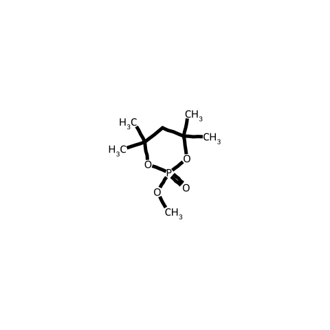 COP1(=O)OC(C)(C)CC(C)(C)O1